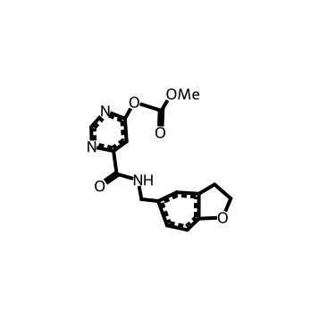 COC(=O)Oc1cc(C(=O)NCc2ccc3c(c2)CCO3)ncn1